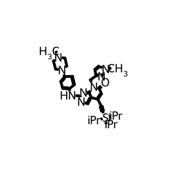 CC(C)[Si](C#Cc1cc(=O)n(Cc2ccn(C)n2)c2nc(Nc3ccc(N4CCN(C)CC4)cc3)ncc12)(C(C)C)C(C)C